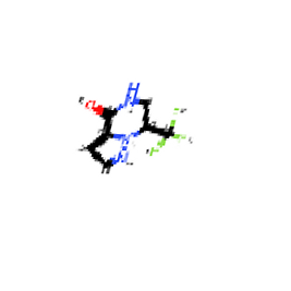 O=C1NCC(C(F)(F)F)n2nccc21